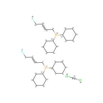 FCC=CCP(C1CCCCC1)C1CCCCC1.FCC=CCP(C1CCCCC1)C1CCCCC1.[Cl][Pd][Cl]